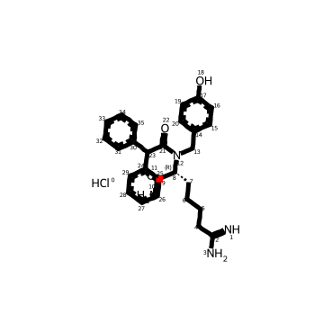 Cl.N=C(N)CCCC[C@H](C(N)=O)N(Cc1ccc(O)cc1)C(=O)C(c1ccccc1)c1ccccc1